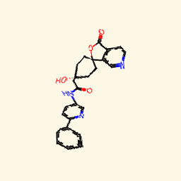 O=C1O[C@]2(CC[C@](O)(C(=O)Nc3ccc(-c4ccccc4)nc3)CC2)c2cnccc21